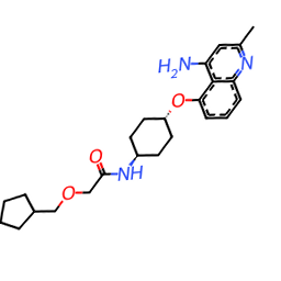 Cc1cc(N)c2c(O[C@H]3CC[C@H](NC(=O)COCC4CCCC4)CC3)cccc2n1